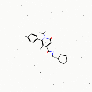 Cc1ccc(-c2c(C)c(C(=O)NCC3CCCCC3)cc(=O)n2C(C)C(=O)O)cc1